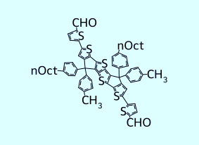 CCCCCCCCc1ccc(C2(c3ccc(C)cc3)c3cc(-c4ccc(C=O)s4)sc3-c3sc4c5c(sc4c32)-c2sc(-c3ccc(C=O)s3)cc2C5(c2ccc(C)cc2)c2ccc(CCCCCCCC)cc2)cc1